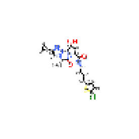 CC(C)(C)[C@@H](C(=O)N1CC(O)CC1C(=O)NCCCCc1ccc(Cl)s1)n1cc(C2CC2)nn1